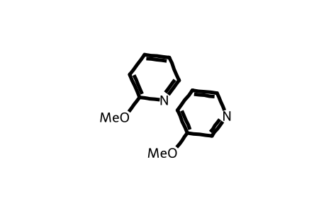 COc1ccccn1.COc1cccnc1